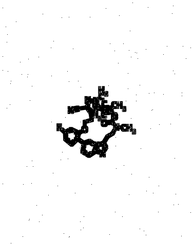 Cc1c(CCOc2cc(F)ccc2-c2ccc3ncc(CCN(C)C(=O)OC(C)(C)C)n3c2)c(C#N)nn1C